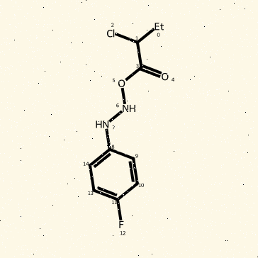 CCC(Cl)C(=O)ONNc1ccc(F)cc1